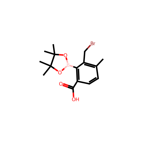 Cc1ccc(C(=O)O)c(B2OC(C)(C)C(C)(C)O2)c1CBr